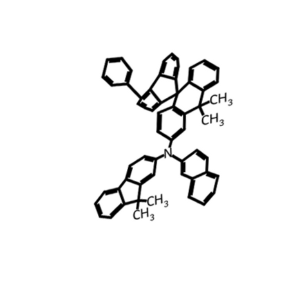 CC1(C)c2ccccc2-c2ccc(N(c3ccc4c(c3)C(C)(C)c3ccccc3C43c4ccccc4-c4c(-c5ccccc5)cccc43)c3ccc4ccccc4c3)cc21